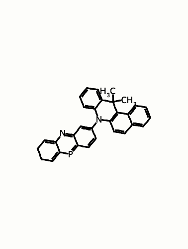 CC1(C)c2ccccc2N(c2ccc3pc4c(nc3c2)=CCCC=4)c2ccc3ccccc3c21